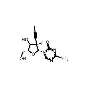 CC#C[C@@]1(F)C(O)[C@@H](CO)O[C@H]1n1cnc(N)nc1=O